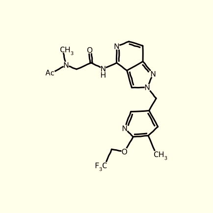 CC(=O)N(C)CC(=O)Nc1nccc2nn(Cc3cnc(OCC(F)(F)F)c(C)c3)cc12